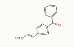 O=C(c1ccccc1)c1ccc(C=CS(=O)(=O)O)cc1